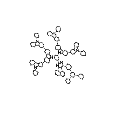 c1ccc(-c2cc(-c3ccccc3)cc(-c3cccc(-c4nc(-c5cc(-n6c7ccc(-c8ccc9c(c8)c8ccccc8n9-c8ccccc8)cc7c7cc(-c8ccc9c(c8)c8ccccc8n9-c8ccccc8)ccc76)cc(-n6c7ccc(-c8ccc9c(c8)c8ccccc8n9-c8ccccc8)cc7c7cc(-c8ccc9c(c8)c8ccccc8n9-c8ccccc8)ccc76)c5)nc5c4-c4cccc6cccc-5c46)c3)c2)cc1